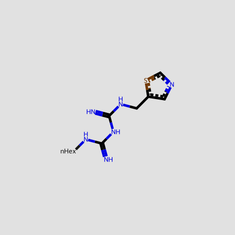 CCCCCCNC(=N)NC(=N)NCc1cncs1